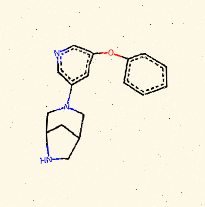 c1ccc(Oc2cncc(N3CC4CNC(C4)C3)c2)cc1